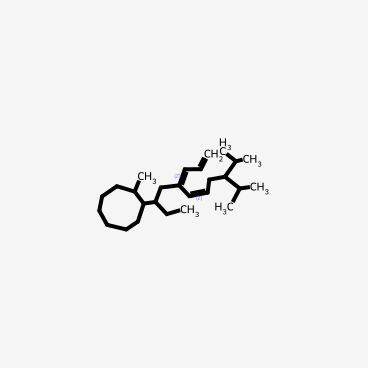 C=C/C=C(\C=C/CC(C(C)C)C(C)C)CC(CC)C1CCCCCCC1C